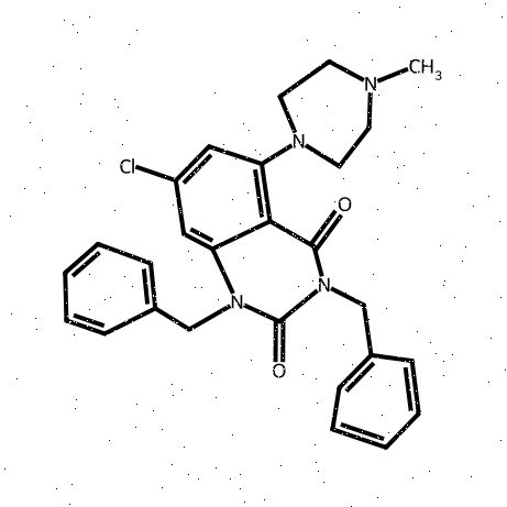 CN1CCN(c2cc(Cl)cc3c2c(=O)n(Cc2ccccc2)c(=O)n3Cc2ccccc2)CC1